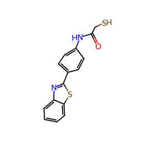 O=C(CS)Nc1ccc(-c2nc3ccccc3s2)cc1